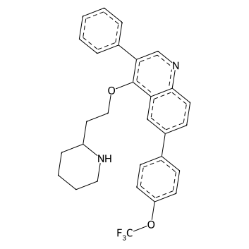 FC(F)(F)Oc1ccc(-c2ccc3ncc(-c4ccccc4)c(OCCC4CCCCN4)c3c2)cc1